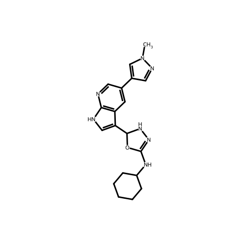 Cn1cc(-c2cnc3[nH]cc(C4NN=C(NC5CCCCC5)O4)c3c2)cn1